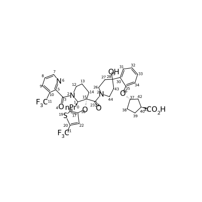 CCC[C@H]1N(C(=O)c2ncccc2C(F)(F)F)CCC[C@@]1(Oc1csc(C(F)(F)F)c1)C(=O)N1CCC(O)(c2ccccc2O[C@H]2CC[C@H](C(=O)O)C2)CC1